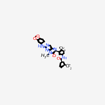 Cc1ccc(NC(=O)c2cccc(C(F)(F)F)c2)cc1-c1nc2cnc(Nc3ccc4c(c3)OCO4)nc2n(C)c1=O